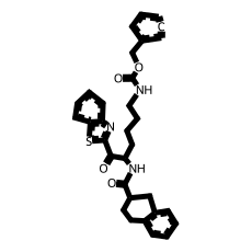 O=C(NCCCCC(NC(=O)C1CCc2ccccc2C1)C(=O)c1nc2ccccc2s1)OCc1ccccc1